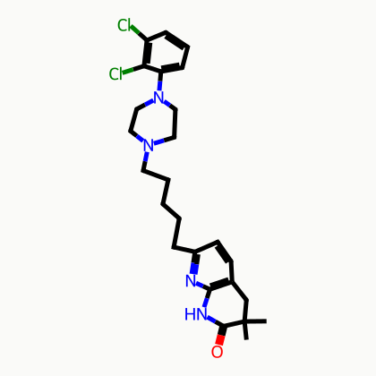 CC1(C)Cc2ccc(CCCCCN3CCN(c4cccc(Cl)c4Cl)CC3)nc2NC1=O